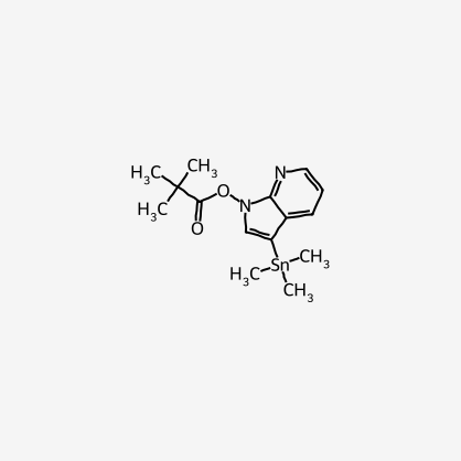 CC(C)(C)C(=O)On1c[c]([Sn]([CH3])([CH3])[CH3])c2cccnc21